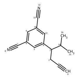 C#CCC(c1cc(C#N)cc(C#N)c1)C(C)C